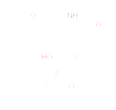 CC(C)OP(O)(=S)SC(C)C.O=C1CCC(=O)N1